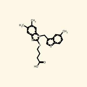 Cc1ccc2scc(Cn3c(SCCCC(=O)O)nc4cc(C)c(C)cc43)c2c1